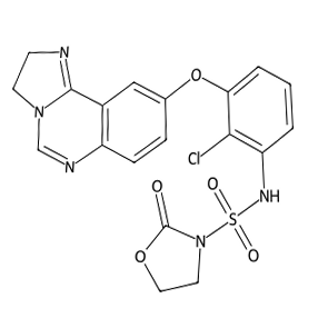 O=C1OCCN1S(=O)(=O)Nc1cccc(Oc2ccc3c(c2)C2=NCCN2C=N3)c1Cl